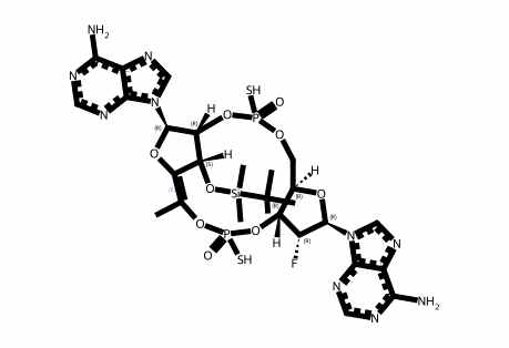 C/C1=C2\O[C@@H](n3cnc4c(N)ncnc43)[C@H](OP(=O)(S)OC[C@H]3O[C@@H](n4cnc5c(N)ncnc54)[C@H](F)[C@@H]3OP(=O)(S)O1)[C@@H]2O[Si](C)(C)C(C)(C)C